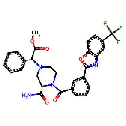 COC(=O)[C@@H](c1ccccc1)N1CCN(C(=O)c2cccc(-c3nc4cc(C(F)(F)F)ccc4o3)c2)[C@H](C(N)=O)C1